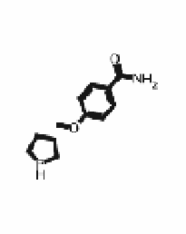 C1CCPC1.COc1ccc(C(N)=O)cc1